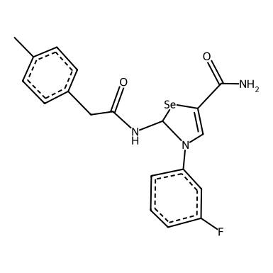 Cc1ccc(CC(=O)NC2[Se]C(C(N)=O)=CN2c2cccc(F)c2)cc1